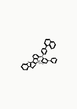 CS1(C)c2ccc3c(sc4ccccc43)c2-c2cccc(N(c3ccc(-c4cccc5ccccc45)cc3)c3cccc(-c4ccccc4)c3)c21